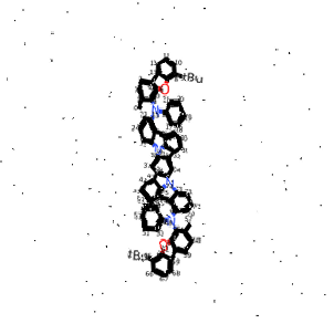 Cc1ccc2c(oc3c(C(C)(C)C)cccc32)c1N(c1ccccc1)c1cccc2c1c1cccc3c4cc5c(cc4n2c31)c1cccc2c3c(N(c4ccccc4)c4c(C)ccc6c4oc4c(C(C)(C)C)cccc46)cccc3n5c12